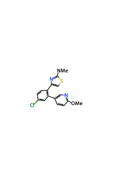 CNc1nc(-c2ccc(Cl)cc2-c2ccc(OC)nc2)cs1